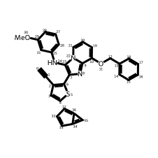 C#Cc1ccsc1-c1nc2c(OCc3ccccc3)cccn2c1Nc1cccc(OC)c1.c1cc2cc-2c1